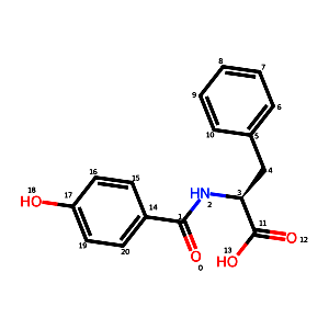 O=C(N[C@@H](Cc1ccccc1)C(=O)O)c1ccc(O)cc1